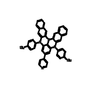 CC(C)(C)c1ccc(N2c3cc4ccccc4cc3B3c4cc5ccccc5cc4N(c4ccc(C(C)(C)C)cc4)c4cc(-c5ccncc5)cc2c43)cc1